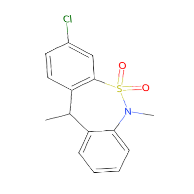 CC1c2ccccc2N(C)S(=O)(=O)c2cc(Cl)ccc21